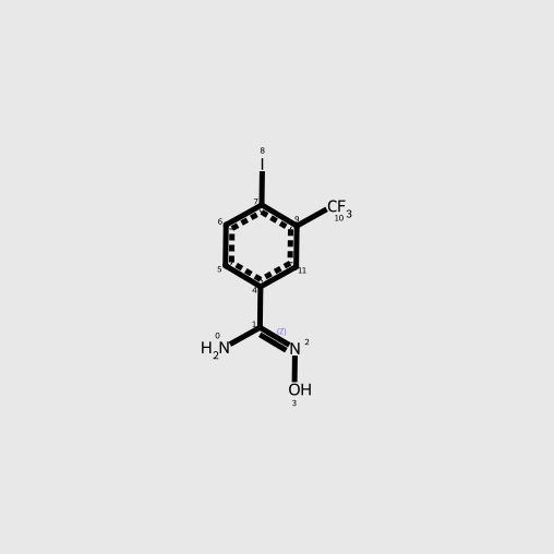 N/C(=N\O)c1ccc(I)c(C(F)(F)F)c1